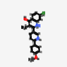 Cc1c(-c2ccc(-c3ccc(OC(F)(F)F)cc3)nc2)[nH]c2cc(Cl)ccc2c1=O